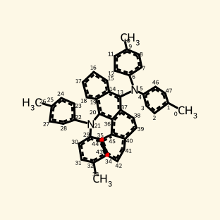 Cc1ccc(N(c2ccc(C)cc2)c2c3ccccc3c(N(c3ccc(C)cc3)c3ccc(C)cc3)c3c2ccc2ccccc23)cc1